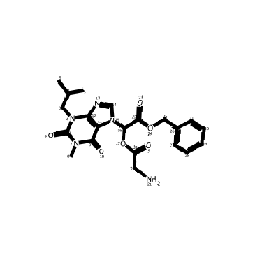 CC(C)Cn1c(=O)n(C)c(=O)c2c1ncn2C(OC(=O)CN)C(=O)OCc1ccccc1